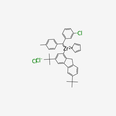 Cc1ccc([C](c2cccc(Cl)c2)=[Zr+2]([c]2cc(C(C)(C)C)cc3c2Cc2ccc(C(C)(C)C)cc2-3)[CH]2C=CC=C2)cc1.[Cl-].[Cl-]